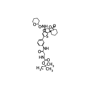 CC(C)(C)OC(=O)NCC(=O)Nc1cccc(-c2ccc([C@@]3(CC(=O)NOC4CCCCO4)CCCCS3(=O)=O)s2)c1